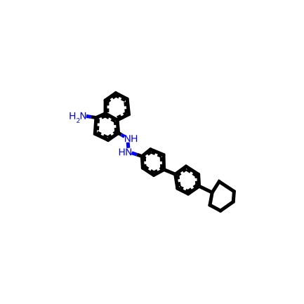 Nc1ccc(NNc2ccc(-c3ccc(C4CCCCC4)cc3)cc2)c2ccccc12